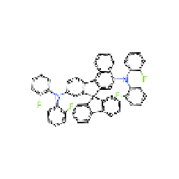 Fc1ccccc1N(c1ccc2c(c1)C1(c3ccccc3-c3ccccc31)c1cc(N(c3ccccc3F)c3ccccc3F)c3ccccc3c1-2)c1ccccc1F